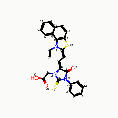 CCN1C(=CC=C2C(=O)N(c3ccccc3)C(=S)N2CC(=O)O)Sc2ccc3ccccc3c21